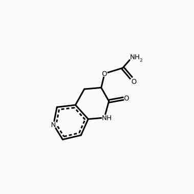 NC(=O)OC1Cc2cnccc2NC1=O